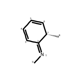 C/N=C1\C=CC=C[C@@H]1C